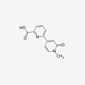 Cn1ccc(-c2cccc(C(=O)O)n2)cc1=O